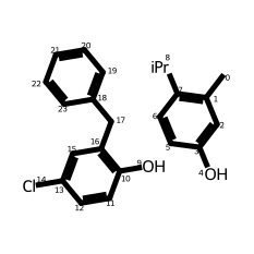 Cc1cc(O)ccc1C(C)C.Oc1ccc(Cl)cc1Cc1ccccc1